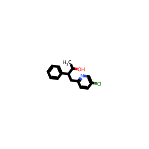 CC(O)C(Cc1ccc(Cl)cn1)c1ccccc1